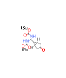 CC(C)(C)OC(=O)NC(NC(=O)OC(C)(C)C)C1[C@H]2CC(=O)C[C@@H]12